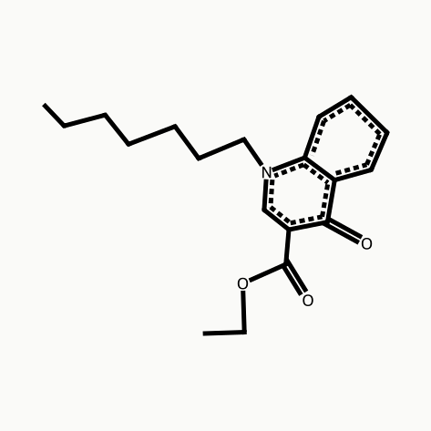 CCCCCCCn1cc(C(=O)OCC)c(=O)c2ccccc21